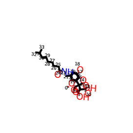 COC(=O)C1(C(C(=O)O)C(=O)O)C(=O)Oc2c(OC)cc(CNC(=O)CCCCC=CC(C)C)cc21